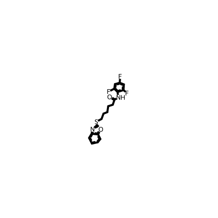 O=C(CCCCCSc1nc2ccccc2o1)Nc1c(F)cc(F)cc1F